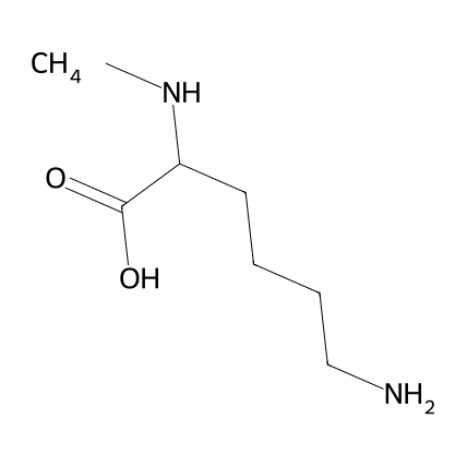 C.CNC(CCCCN)C(=O)O